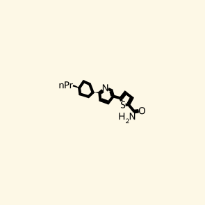 CCC[C@H]1CC[C@H](c2ccc(-c3ccc(C(N)=O)s3)cn2)CC1